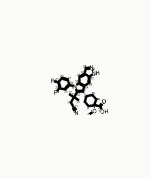 CO[C@]1(C(=O)O)CC[C@H](c2c(C(C)(C)CC#N)n(-c3ccc(F)c(F)c3)c3cc4cn[nH]c4cc32)CC1